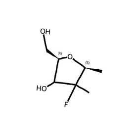 C[C@@H]1O[C@H](CO)C(O)C1(C)F